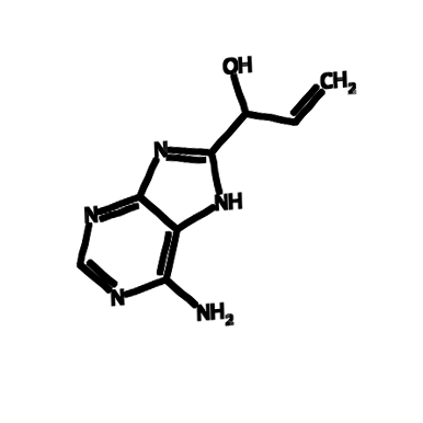 C=CC(O)c1nc2ncnc(N)c2[nH]1